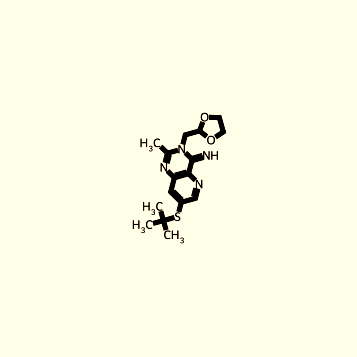 Cc1nc2cc(SC(C)(C)C)cnc2c(=N)n1CC1OCCO1